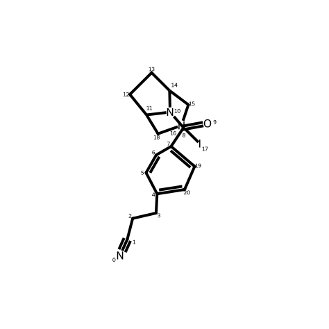 N#CCCc1ccc(C(=O)N2C3CCC2CN(I)C3)cc1